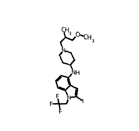 COCC(C)CN1CCC(Nc2cccc3c2cc(I)n3CC(F)(F)F)CC1